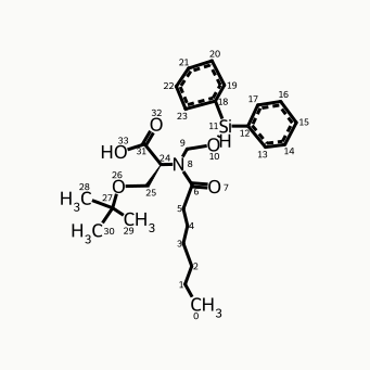 CCCCCCC(=O)N(CO[SiH](c1ccccc1)c1ccccc1)[C@@H](COC(C)(C)C)C(=O)O